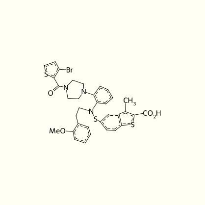 COc1ccccc1CCN(Sc1ccc2sc(C(=O)O)c(C)c2c1)c1ccccc1N1CCN(C(=O)c2sccc2Br)CC1